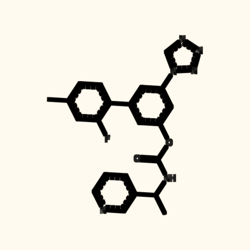 Cc1ccc(-c2cc(OC(=O)NC(C)c3cccnc3)cc(-n3cnnn3)c2)c(F)c1